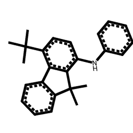 CC(C)(C)c1ccc(Nc2ccccc2)c2c1-c1ccccc1C2(C)C